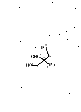 CC(C)(C)CC(C=O)(CO)C(C)(C)C